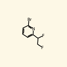 FCC(F)c1cccc(Br)n1